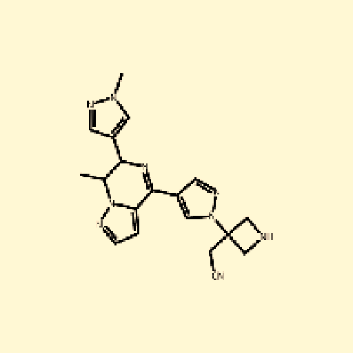 CC1C(c2cnn(C)c2)N=C(c2cnn(C3(CC#N)CNC3)c2)c2ccnn21